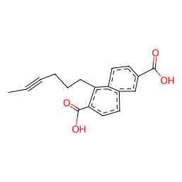 CC#CCCCc1c(C(=O)O)ccc2cc(C(=O)O)ccc12